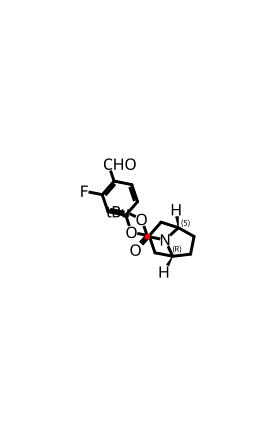 CC(C)(C)OC(=O)N1[C@@H]2CC[C@H]1CC(Oc1ccc(C=O)c(F)c1)C2